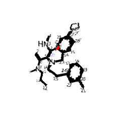 C=N/C(NC)=C(/C(=C)N(C)CCC)N(CCc1cccc(C)c1)Cc1ccc(Cl)cc1